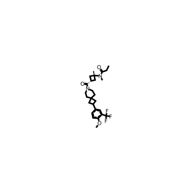 CCC(=O)N(C)[C@]1(C)C[C@H](C(=O)N2CCC3(CC2)CC(c2ccc(OC)c(C(F)(F)F)c2)C3)C1